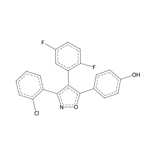 Oc1ccc(-c2onc(-c3ccccc3Cl)c2-c2cc(F)ccc2F)cc1